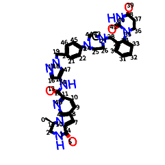 C[C@@H]1CNC(=O)c2cc3ccc(C(=O)Nc4cnn(Cc5ccc(N6CCN(Cc7ccccc7N7CCC(=O)NC7=O)CC6)cc5)c4)nc3n21